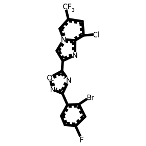 Fc1ccc(-c2noc(-c3cn4cc(C(F)(F)F)cc(Cl)c4n3)n2)c(Br)c1